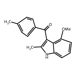 COc1cccc2[nH]c(C)c(C(=O)c3ccc(C)cc3)c12